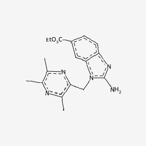 CCOC(=O)c1ccc2nc(N)n(Cc3nc(C)c(C)nc3C)c2c1